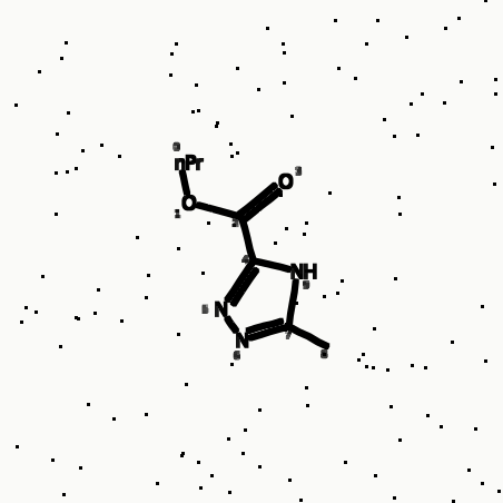 CCCOC(=O)c1nnc(C)[nH]1